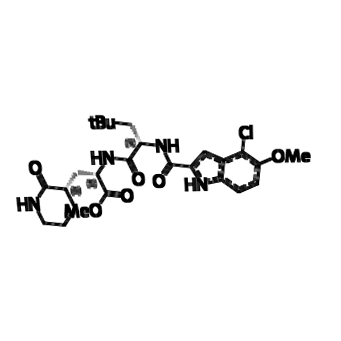 COC(=O)[C@H](C[C@@H]1CCCNC1=O)NC(=O)[C@H](CC(C)(C)C)NC(=O)c1cc2c(Cl)c(OC)ccc2[nH]1